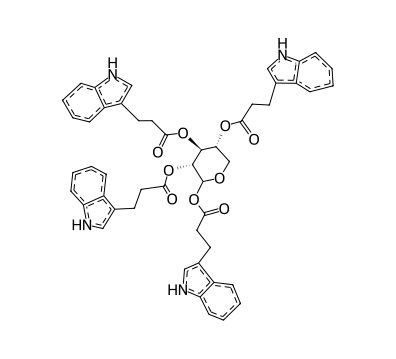 O=C(CCc1c[nH]c2ccccc12)OC1OC[C@@H](OC(=O)CCc2c[nH]c3ccccc23)[C@H](OC(=O)CCc2c[nH]c3ccccc23)[C@H]1OC(=O)CCc1c[nH]c2ccccc12